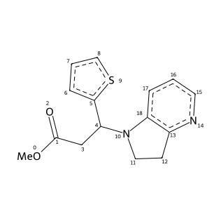 COC(=O)CC(c1cccs1)N1CCc2ncccc21